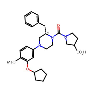 COc1ccc(N2CCN(C(=O)N3CCC(C(=O)O)C3)[C@@H](Cc3ccccc3)C2)cc1OC1CCCC1